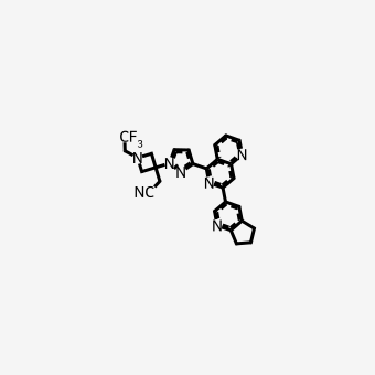 N#CCC1(n2ccc(-c3nc(-c4cnc5c(c4)CCC5)cc4ncccc34)n2)CN(CC(F)(F)F)C1